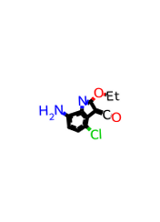 CCOC1=Nc2c(N)ccc(Cl)c2C1=C=O